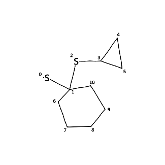 [S]C1(SC2CC2)CCCCC1